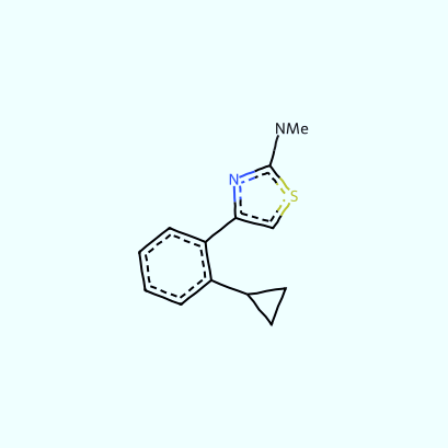 CNc1nc(-c2ccccc2C2CC2)cs1